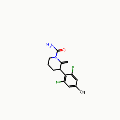 C=C1C(c2c(F)cc(C#N)cc2F)CCCN1C(N)=O